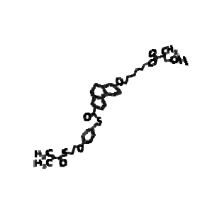 C=C(C)C(=O)SCCOc1ccc(SC(=O)c2ccc3c(ccc4cc(OCCCCCCOC(=O)C(=C)CO)ccc43)c2)cc1